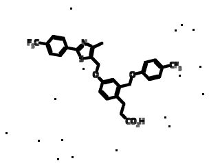 Cc1nc(-c2ccc(C(F)(F)F)cc2)sc1COc1ccc(CCC(=O)O)c(COc2ccc(C(F)(F)F)cc2)c1